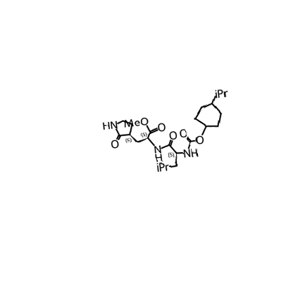 COC(=O)[C@H](C[C@@H]1CCNC1=O)NC(=O)[C@H](CC(C)C)NC(=O)OC1CCC(C(C)C)CC1